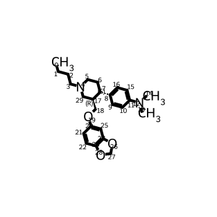 CCCCN1CC[C@H](c2ccc(N(C)C)cc2)[C@@H](COc2ccc3c(c2)OCO3)C1